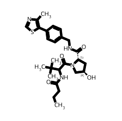 CCCC(=O)NC(C(=O)N1C[C@H](O)C[C@H]1C(=O)NCc1ccc(-c2scnc2C)cc1)C(C)(C)C